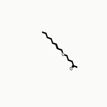 CCCCCC=CCOCCCC(C)=O